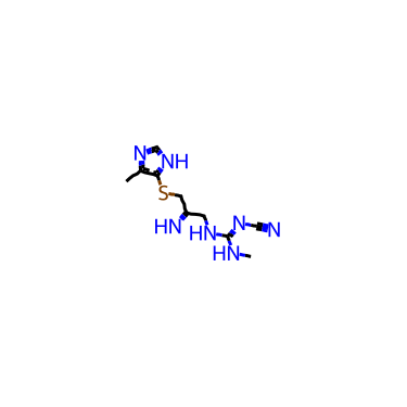 CNC(=NC#N)NCC(=N)CSc1[nH]cnc1C